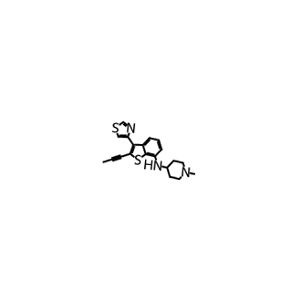 CC#Cc1sc2c(NC3CCN(C)CC3)cccc2c1-c1cscn1